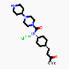 COC(=O)CC[C@H]1CC[C@H](NC(=O)N2CCN(C3CCNCC3)CC2)CC1.Cl.Cl